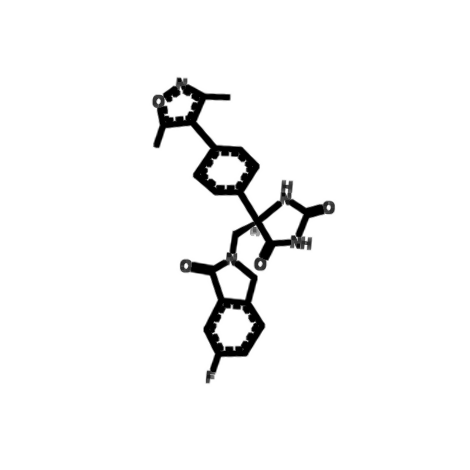 Cc1noc(C)c1-c1ccc([C@]2(CN3Cc4ccc(F)cc4C3=O)NC(=O)NC2=O)cc1